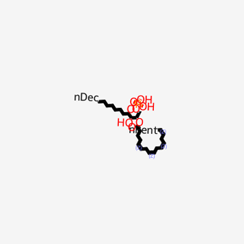 CCCCC/C=C\C/C=C\C/C=C\C/C=C\CCCC(=O)OC(COP(=O)(O)O)C(O)C(=O)CCCCCCCCCCCCCCCCC